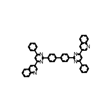 c1ccc(-c2cc(-c3cnc4ccccc4c3)nc(-c3ccc(-c4ccc(-c5nc(-c6ccccc6)cc(-c6cnc7ccccc7c6)n5)cc4)cc3)n2)cc1